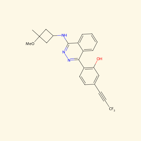 COC1(C)CC(Nc2nnc(-c3ccc(C#CC(F)(F)F)cc3O)c3ccccc23)C1